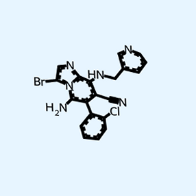 N#Cc1c(-c2ccccc2Cl)c(N)n2c(Br)cnc2c1NCc1cccnc1